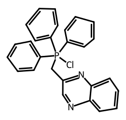 ClP(Cc1cnc2ccccc2n1)(c1ccccc1)(c1ccccc1)c1ccccc1